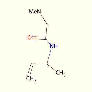 C=CC(C)NC(=O)CNC